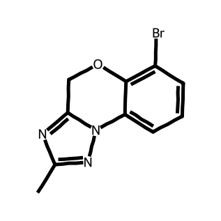 Cc1nc2n(n1)-c1cccc(Br)c1OC2